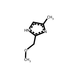 COCc1nc(C)c[nH]1